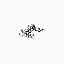 C=C1C(C(N)=O)=C(O)[C@@H](N(C)C)C2CC3Cc4c(CN5CCC(C#N)CC5)ccc(O)c4C(=O)C3=C(O)C12